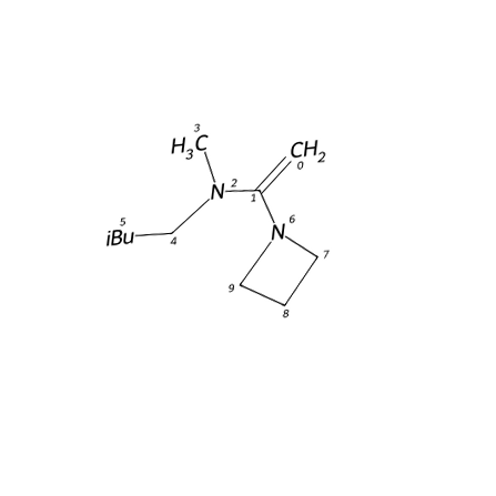 C=C(N(C)CC(C)CC)N1CCC1